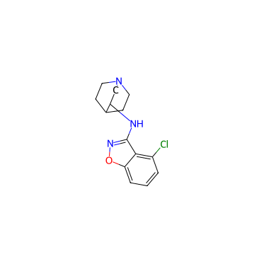 Clc1cccc2onc(NC3CN4CCC3CC4)c12